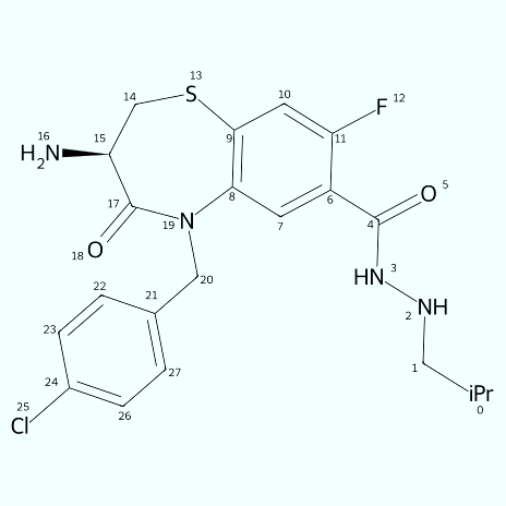 CC(C)CNNC(=O)c1cc2c(cc1F)SC[C@H](N)C(=O)N2Cc1ccc(Cl)cc1